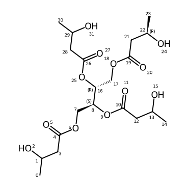 CC(O)CC(=O)OC[C@H](OC(=O)CC(C)O)[C@@H](COC(=O)C[C@@H](C)O)OC(=O)CC(C)O